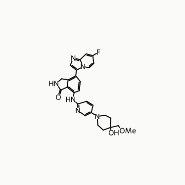 COCC1(O)CCN(c2ccc(Nc3ccc(-c4cnc5cc(F)ccn45)c4c3C(=O)NC4)nc2)CC1